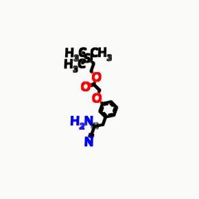 C[Si](C)(C)CCOC(=O)COc1cccc(C[C@H](N)C#N)c1